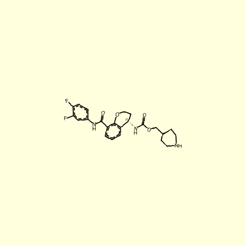 O=C(N[C@H]1CCOc2c(C(=O)Nc3ccc(F)c(F)c3)cccc21)OCC1CCNCC1